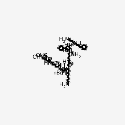 C=C(C[C@@H](CN[C@H](CN)CCCCNC(=O)CC[C@@H](CNCCCCCN)NC[C@H](CCCC)NC[C@H](CCCCNC(=O)CN(CC=O)CC=O)NCCC)NC[C@H](CCCN)NCCCc1ccccc1)c1ccccc1